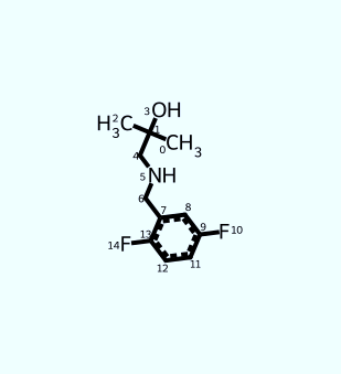 CC(C)(O)CNCc1cc(F)ccc1F